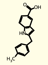 Cc1ccc(Cc2cc3cc(C(=O)O)ccc3[nH]2)cc1